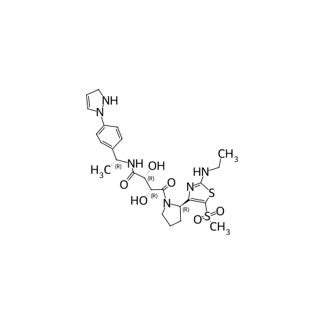 CCNc1nc([C@H]2CCCN2C(=O)[C@H](O)[C@@H](O)C(=O)N[C@H](C)c2ccc(N3C=CCN3)cc2)c(S(C)(=O)=O)s1